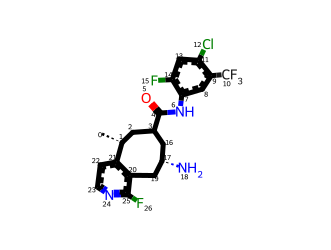 C[C@@H]1CC(C(=O)Nc2cc(C(F)(F)F)c(Cl)cc2F)C[C@H](N)Cc2c1ccnc2F